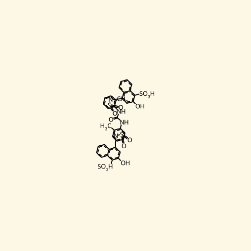 Cc1c2ccc(c1NC(=O)Nc1c3ccc(c1C)N(c1cc(O)c(S(=O)(=O)O)c4ccccc14)S3(=O)=O)S(=O)(=O)N2c1cc(O)c(S(=O)(=O)O)c2ccccc12